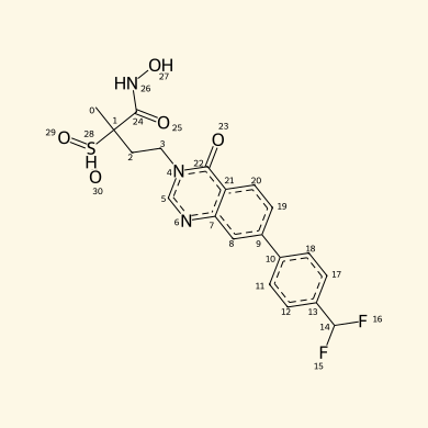 CC(CCn1cnc2cc(-c3ccc(C(F)F)cc3)ccc2c1=O)(C(=O)NO)[SH](=O)=O